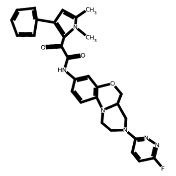 Cc1cc(-c2ccccc2)c(C(=O)C(=O)Nc2ccc3c(c2)OCC2CN(c4ccc(F)nn4)CCN32)n1C